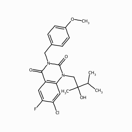 COc1ccc(Cn2c(=O)c3cc(F)c(Cl)cc3n(CC(C)(O)C(C)C)c2=O)cc1